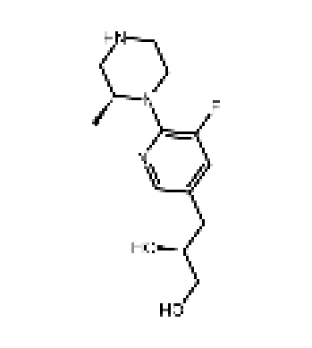 C[C@H]1CNCCN1c1ncc(C[C@H](O)CO)cc1F